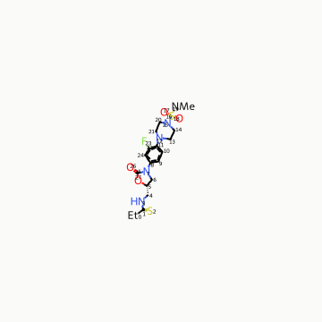 CCC(=S)NC[C@H]1CN(c2ccc(N3CCN(S(=O)(=O)NC)CC3)c(F)c2)C(=O)O1